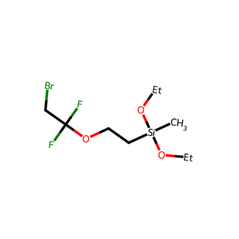 CCO[Si](C)(CCOC(F)(F)CBr)OCC